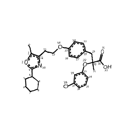 Cc1oc(C2CCCCC2)nc1CCOc1ccc(CC(C)(Oc2cccc(Cl)c2)C(=O)O)cc1